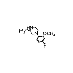 COc1cc(F)ccc1N1CCN[C@H](C)C1